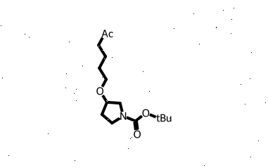 CC(=O)CCCCOC1CCN(C(=O)OC(C)(C)C)C1